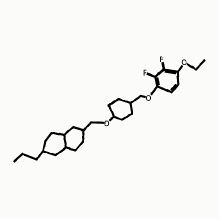 CCCC1CCC2CC(COC3CCC(COc4ccc(OCC)c(F)c4F)CC3)CCC2C1